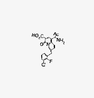 CC(=O)C(N)c1cc(C(=O)O)c(=O)n2cc(Cc3cccc(Cl)c3F)ccc12